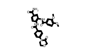 COc1ccc(C(=O)Nc2cc(C(N)=O)ccc2NC(=O)c2ccc(N3CCOCC3=O)cc2)cc1OC